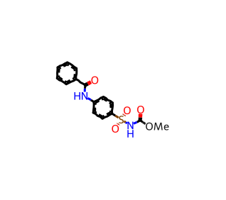 COC(=O)NS(=O)(=O)c1ccc(NC(=O)c2ccccc2)cc1